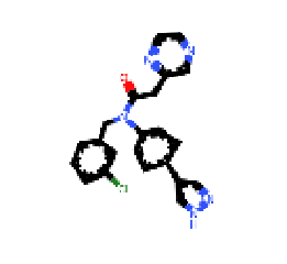 O=C(Cc1cnccn1)N(Cc1cccc(Cl)c1)c1ccc(-c2cn[nH]c2)cc1